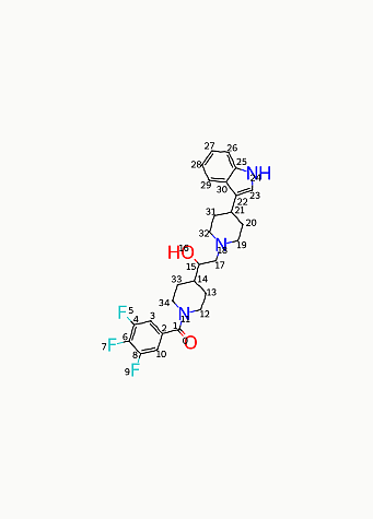 O=C(c1cc(F)c(F)c(F)c1)N1CCC(C(O)CN2CCC(c3c[nH]c4ccccc34)CC2)CC1